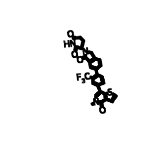 Cn1cc(-c2ccc(-c3ccc4c(c3)C(=O)N(C3CCC(=O)NC3=O)C4)c(C(F)(F)F)c2)c2sccc2c1=O